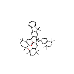 Cc1cc2c(cc1-c1cc3c(cc1N(c1ccc4c(c1)C(C)(C)CCC4(C)C)c1ccc4c(c1)C(C)(C)CCC4(C)C)C(C)(C)c1ccccc1-3)C(C)(C)CCC2(C)C